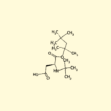 CC(C)(C)CC(C)(C)OC(=O)[C@H](CC(=O)O)NC(C)(C)C